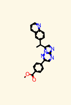 COC(=O)c1ccc(-c2cnc3ncc(C(C)c4ccc5ncccc5c4)n3n2)cc1